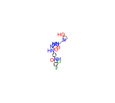 O=C(Nc1ccc(NC(=O)c2nc[nH]c2C(=O)NCCCN2CCCC(O)C2)cc1)c1ccc(F)cc1Cl